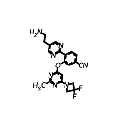 Cc1nc(Oc2cc(C#N)ccc2-c2ncc(CCN)cn2)cc(N2CC(F)(F)C2)n1